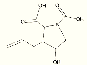 C=CCC1C(O)CN(C(=O)O)C1C(=O)O